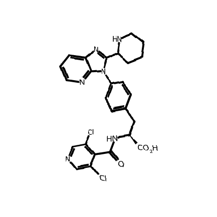 O=C(N[C@@H](Cc1ccc(-n2c(C3CCCCN3)nc3cccnc32)cc1)C(=O)O)c1c(Cl)cncc1Cl